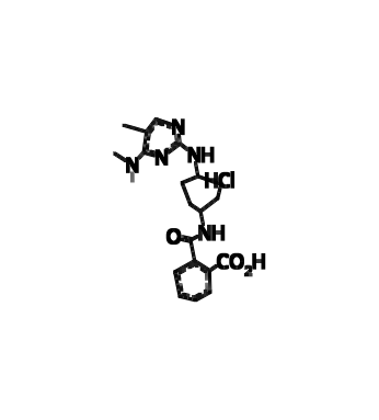 Cc1cnc(NC2CCC(NC(=O)c3ccccc3C(=O)O)CC2)nc1N(C)C.Cl